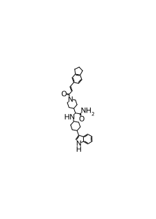 NC(=O)C(NC1CCC(c2c[nH]c3ccccc23)CC1)C1CCN(C(=O)C=Cc2ccc3c(c2)CCC3)CC1